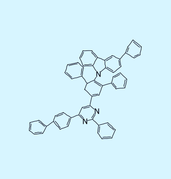 C1=C(c2cc(-c3ccc(-c4ccccc4)cc3)nc(-c3ccccc3)n2)CC(c2ccccc2)C(n2c3ccccc3c3cc(-c4ccccc4)ccc32)=C1c1ccccc1